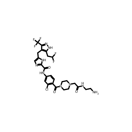 NCCNC(=O)CN1CCN(C(=O)c2ccc(NC(=O)c3ncc(Cc4c(C(F)(F)F)n[nH]c4CC(F)F)[nH]3)cc2Cl)CC1